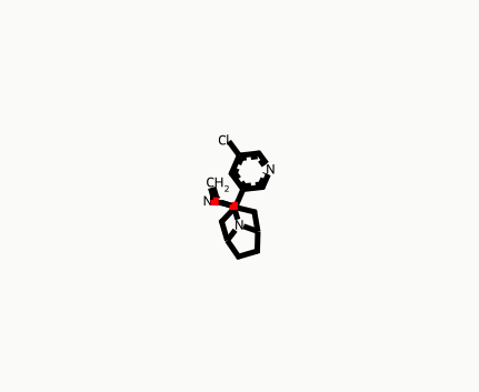 C=CCN1C2CCC1CC(C#N)(c1cncc(Cl)c1)C2